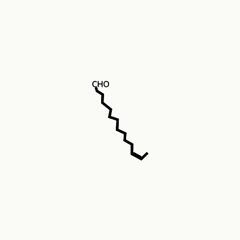 C/C=C\CCCCCCCCCCC=O